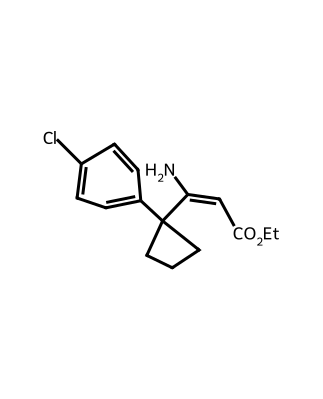 CCOC(=O)/C=C(/N)C1(c2ccc(Cl)cc2)CCC1